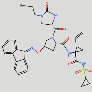 C=C[C@@H]1C[C@]1(NC(=O)[C@@H]1C[C@@H](ON=C2c3ccccc3-c3ccccc32)CN1C(=O)[C@@H]1CN(CCC(C)C)C(=O)N1)C(=O)NS(=O)(=O)C1CC1